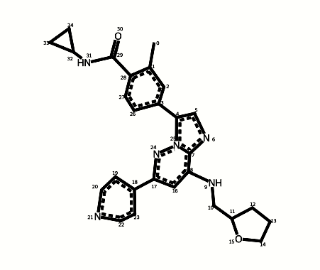 Cc1cc(-c2cnc3c(NCC4CCCO4)cc(-c4ccncc4)nn23)ccc1C(=O)NC1CC1